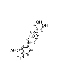 COc1cc(N2CC3CN(C(CO)CO)CC(C2)O3)ccc1N